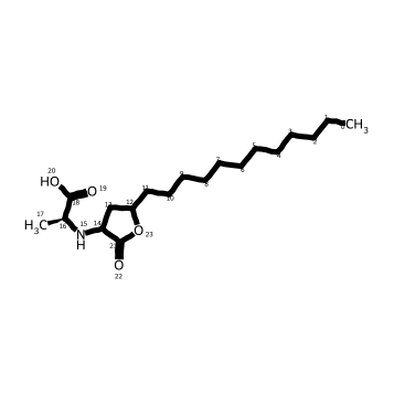 CCCCCCCCCCCCC1CC(N[C@@H](C)C(=O)O)C(=O)O1